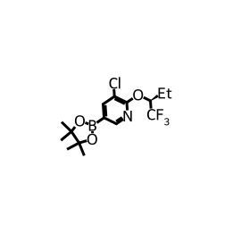 CC[C@H](Oc1ncc(B2OC(C)(C)C(C)(C)O2)cc1Cl)C(F)(F)F